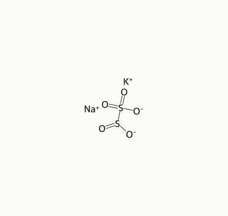 O=S([O-])S(=O)(=O)[O-].[K+].[Na+]